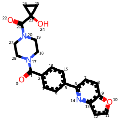 O=C(c1ccc(-c2ccc3occc3n2)cc1)N1CCN(C(=O)C2(O)CC2)CC1